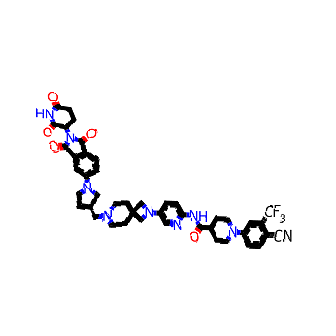 N#Cc1ccc(N2CCC(C(=O)Nc3ccc(N4CC5(CCN(C[C@H]6CCN(c7ccc8c(c7)C(=O)N(C7CCC(=O)NC7=O)C8=O)C6)CC5)C4)cn3)CC2)cc1C(F)(F)F